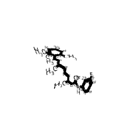 CC1=C(/C=C/C(C)=C/C=C/C(C)=C\C(=O)Nc2cccc(F)c2)C(C)(C)CCC1